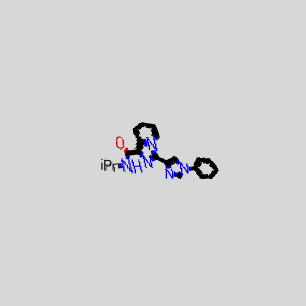 CC(C)NC(=O)c1nc(-c2cn(-c3ccccc3)cn2)n2ccccc12